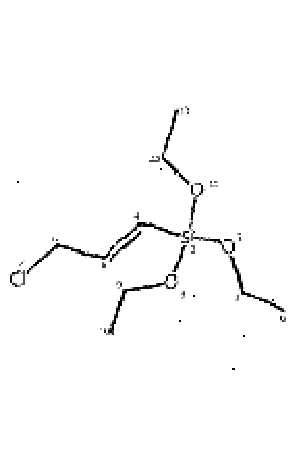 CCO[Si](C=CCCl)(OCC)OCC